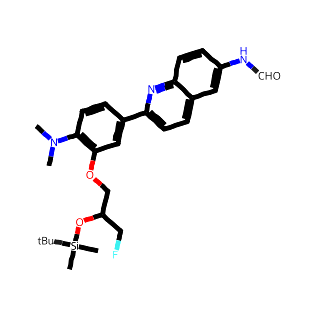 CN(C)c1ccc(-c2ccc3cc(NC=O)ccc3n2)cc1OCC(CF)O[Si](C)(C)C(C)(C)C